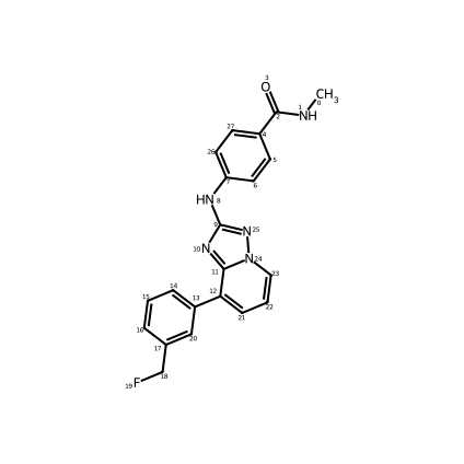 CNC(=O)c1ccc(Nc2nc3c(-c4cccc(CF)c4)cccn3n2)cc1